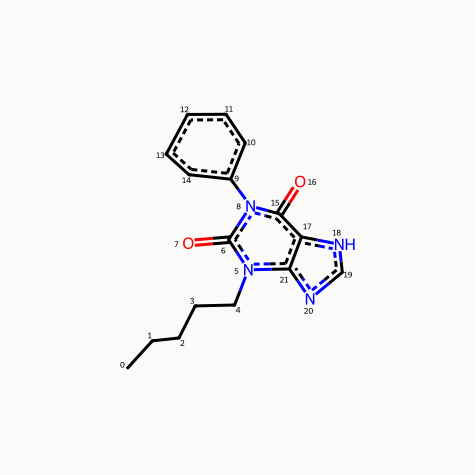 CCCCCn1c(=O)n(-c2ccccc2)c(=O)c2[nH]cnc21